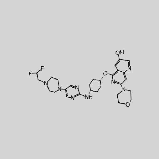 Oc1cnc2cc(N3CCOCC3)nc(O[C@H]3CC[C@@H](Nc4ncc(N5CCN(CC(F)F)CC5)cn4)CC3)c2c1